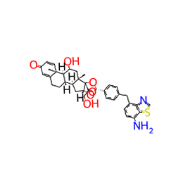 C[C@]12C=CC(=O)C=C1CC[C@@H]1[C@@H]2[C@@H](O)C[C@@]2(C)[C@H]1C[C@H]1O[C@@H](c3ccc(Cc4ccc(N)c5scnc45)cc3)O[C@]12C(=O)CO